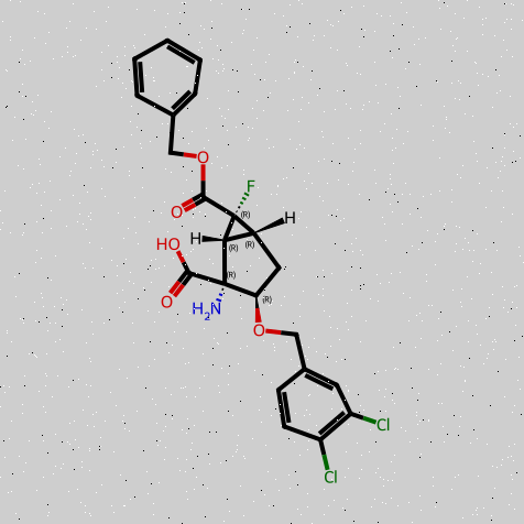 N[C@]1(C(=O)O)[C@H]2[C@@H](C[C@H]1OCc1ccc(Cl)c(Cl)c1)[C@]2(F)C(=O)OCc1ccccc1